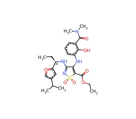 CCOC(=O)C1=C(Nc2cccc(C(=O)N(C)C)c2O)C(N[C@H](CC)c2cc(C(C)C)co2)=NS1(=O)=O